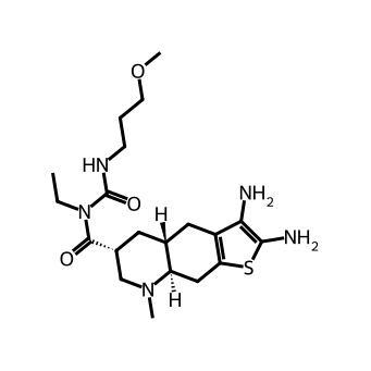 CCN(C(=O)NCCCOC)C(=O)[C@@H]1C[C@@H]2Cc3c(sc(N)c3N)C[C@H]2N(C)C1